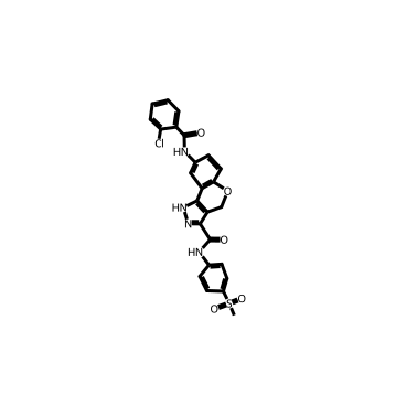 CS(=O)(=O)c1ccc(NC(=O)c2n[nH]c3c2COc2ccc(NC(=O)c4ccccc4Cl)cc2-3)cc1